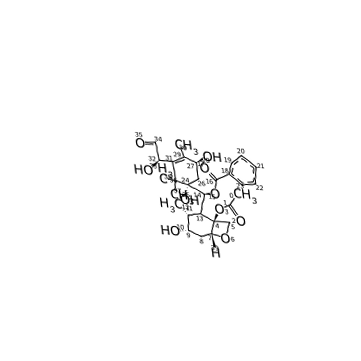 CC(=O)O[C@@]12CO[C@@H]1C[C@H](O)[C@H](C)C2[C@H](OC(=O)c1ccccc1)[C@]1(O)C[C@H](O)C(C)=C([C@@H](O)C=O)C1(C)C